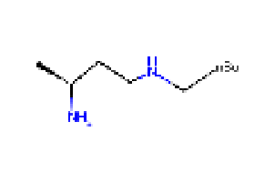 CCCCCNCC[C@H](C)N